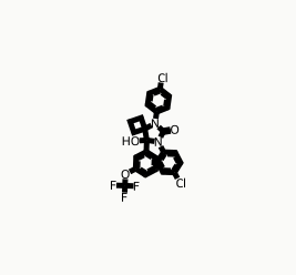 O=C1N(c2ccc(Cl)cc2)C2(CCC2)C(O)(c2cccc(OC(F)(F)F)c2)N1c1ccc(Cl)cc1